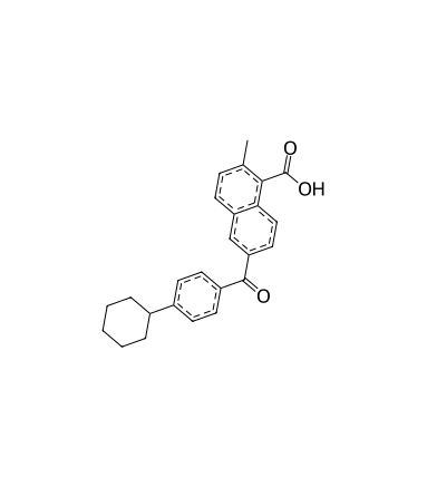 Cc1ccc2cc(C(=O)c3ccc(C4CCCCC4)cc3)ccc2c1C(=O)O